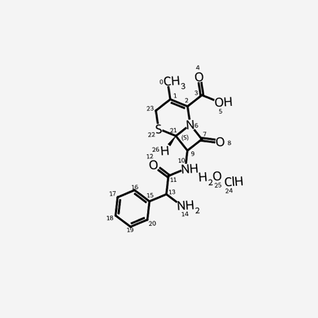 CC1=C(C(=O)O)N2C(=O)C(NC(=O)C(N)c3ccccc3)[C@@H]2SC1.Cl.O